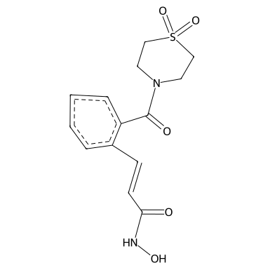 O=C(/C=C/c1ccccc1C(=O)N1CCS(=O)(=O)CC1)NO